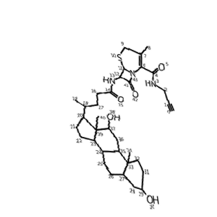 C#CCNC(=O)C1=C(C)CSC2C(NC(=O)CCC(C)C3CCC4C5CCC6CC(O)CCC6(C)C5CC(O)C34C)C(=O)N12